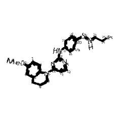 COc1ccc2c(c1)CCCN2c1ccnc(Nc2ccc(SNCCC(C)C)cc2)n1